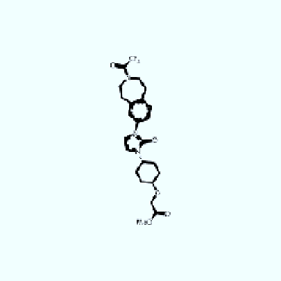 COC(=O)CO[C@H]1CC[C@H](n2ccn(-c3ccc4c(c3)CCN(C(=O)C(F)(F)F)CC4)c2=O)CC1